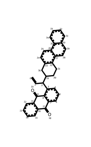 C=CC(c1cccc2c1C(=O)c1ccccc1C2=O)C1CCc2c(ccc3c2ccc2ccccc23)C1